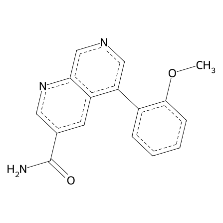 COc1ccccc1-c1cncc2ncc(C(N)=O)cc12